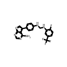 Nc1ncnc2occ(-c3ccc(NCNc4cc(C(F)(F)F)ccc4F)cc3)c12